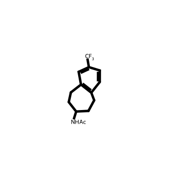 CC(=O)NC1CCc2ccc(C(F)(F)F)cc2CC1